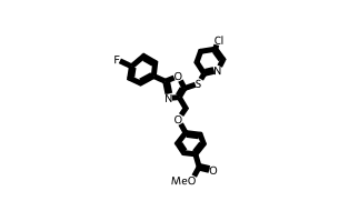 COC(=O)c1ccc(OCc2nc(-c3ccc(F)cc3)oc2SC2=NC=C(Cl)CC2)cc1